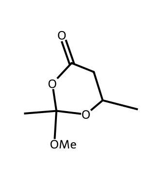 COC1(C)OC(=O)CC(C)O1